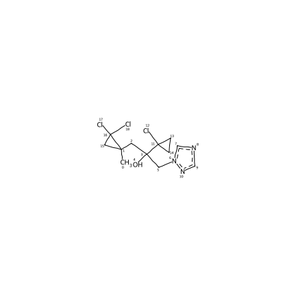 CC1(CC(O)(Cn2cncn2)C2(Cl)CC2)CC1(Cl)Cl